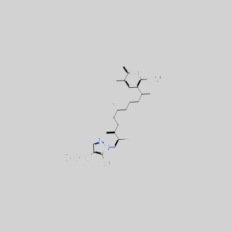 C=C/C(C)=C\C(=C(\OC)C(C)CC)C(C)CCC[C@H](C)CCC(=C)/C(F)=C\n1ncc(C(=O)OCC)c1CC